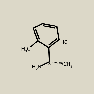 Cc1ccccc1[C@H](C)N.Cl